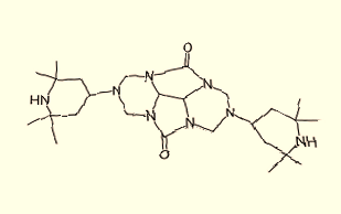 CC1(C)CC(N2CN3C(=O)N4CN(C5CC(C)(C)NC(C)(C)C5)CN5C(=O)N(C2)C3C45)CC(C)(C)N1